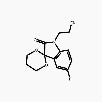 N#CCCN1C(=O)C2(OCCCO2)c2cc(F)ccc21